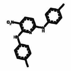 Cc1ccc(Nc2ccc([N+](=O)[O-])c(Nc3ccc(C)cc3)n2)cc1